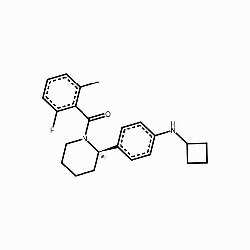 Cc1cccc(F)c1C(=O)N1CCCC[C@@H]1c1ccc(NC2CCC2)cc1